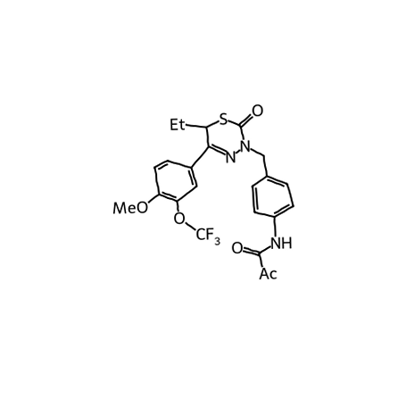 CCC1SC(=O)N(Cc2ccc(NC(=O)C(C)=O)cc2)N=C1c1ccc(OC)c(OC(F)(F)F)c1